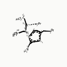 CC(C)c1cnc(N)s1.CCC[C@H](NC(C)C)C(=O)O